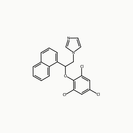 Clc1cc(Cl)c(OC(Cn2ccnc2)c2cccc3ccccc23)c(Cl)c1